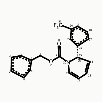 O=C(OCc1ccccc1)N1C=CC=C[C@H]1c1cccc(C(F)(F)F)c1